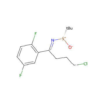 CC(C)(C)[S@+]([O-])N=C(CCCCl)c1cc(F)ccc1F